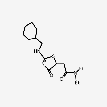 CCN(CC)C(=O)CC1SC(NCC2CCCCC2)=NC1=O